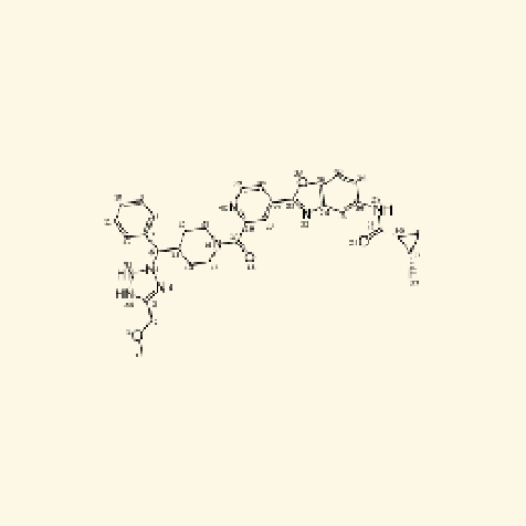 COCC1=NN(C(c2ccccc2)C2CCN(C(=O)c3cc(-c4nc5cc(NC(=O)[C@@H]6C[C@@H]6F)ccc5o4)ccn3)CC2)NN1